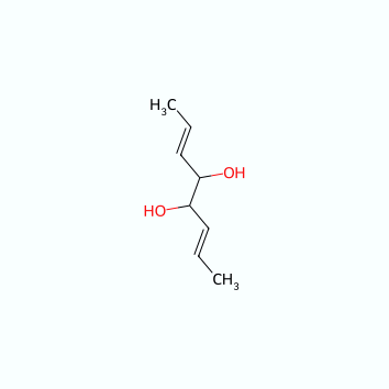 CC=CC(O)C(O)C=CC